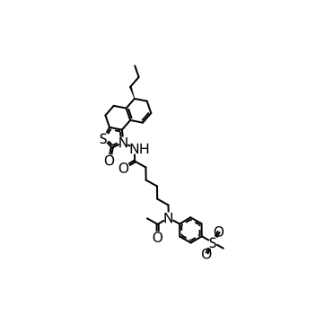 CCC[C@H]1CC=CC2=C1CCc1sc(=O)n(NC(=O)CCCCCN(C(C)=O)c3ccc(S(C)(=O)=O)cc3)c12